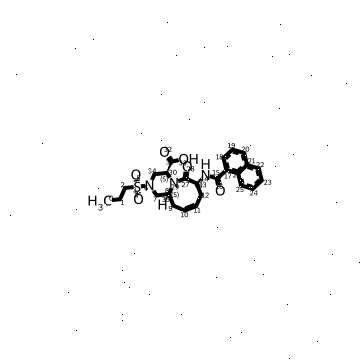 CCCS(=O)(=O)N1C[C@@H]2CC=CC[C@H](NC(=O)c3cccc4ccccc34)C(=O)N2[C@H](C(=O)O)C1